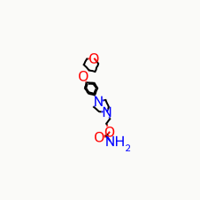 NC(=O)OCCN1CCN(c2ccc(OC3CCOCC3)cc2)CC1